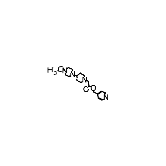 CN1CCN(C2CCN(CC(=O)OCc3ccncc3)CC2)CC1